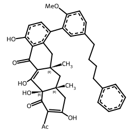 COc1ccc(CCCCc2ccccc2)cc1-c1ccc(O)c2c1C[C@]1(C)C[C@]3(C)CC(O)=C(C(C)=O)C(=O)[C@]3(O)C(O)=C1C2=O